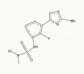 CCN(C)S(=O)(=O)Nc1cccc(-c2csc(C(C)(C)C)n2)c1F